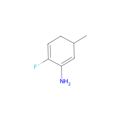 CC1C=C(N)C(F)=CC1